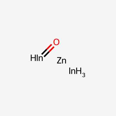 [InH3].[O]=[InH].[Zn]